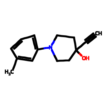 C#CC1(O)CCN(c2cccc(C)c2)CC1